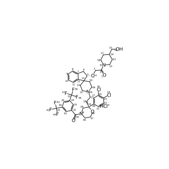 Cl.O=C(CO[C@H]1Cc2ccccc2C12CCN(CC[C@]1(c3ccc(Cl)c(Cl)c3)CN(C(=O)c3cc(C(F)(F)F)cc(C(F)(F)F)c3)CCO1)CC2)N1CCC(CO)CC1